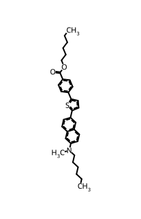 CCCCCCOC(=O)c1ccc(-c2ccc(-c3ccc4cc(N(C)CCCCCC)ccc4c3)s2)cc1